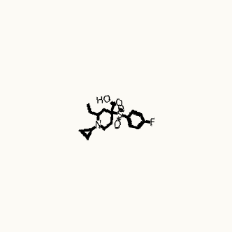 CCC1CC(C(=O)O)(S(=O)(=O)c2ccc(F)cc2)CCN1C1CC1